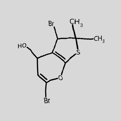 CC1(C)SC2=C(C(O)C=C(Br)O2)C1Br